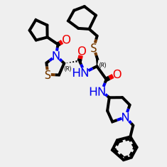 O=C(NC1CCN(Cc2ccccc2)CC1)[C@H](CSCC1CCCCC1)NC(=O)[C@@H]1CSCN1C(=O)C1CCCC1